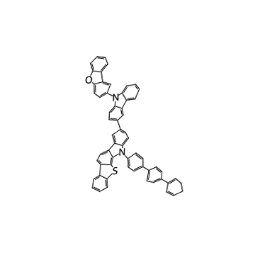 C1=CC(c2ccc(-c3ccc(-n4c5ccc(-c6ccc7c(c6)c6ccccc6n7-c6ccc7oc8ccccc8c7c6)cc5c5ccc6c7ccccc7sc6c54)cc3)cc2)=CCC1